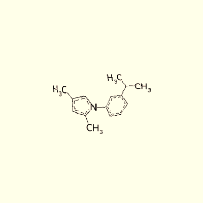 Cc1cc(C)n(-c2cccc(C(C)C)c2)c1